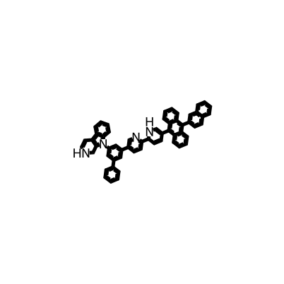 C1=Cc2c(n(-c3cc(-c4ccccc4)cc(-c4ccc(C5C=CC(c6c7ccccc7c(-c7ccc8ccccc8c7)c7ccccc67)=CN5)nc4)c3)c3ccccc23)CN1